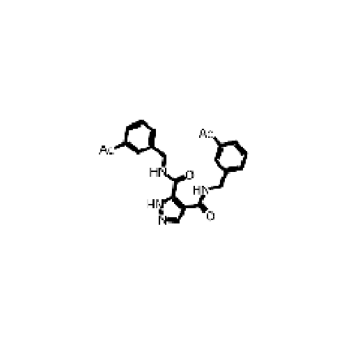 CC(=O)c1cccc(CNC(=O)c2cn[nH]c2C(=O)NCc2cccc(C(C)=O)c2)c1